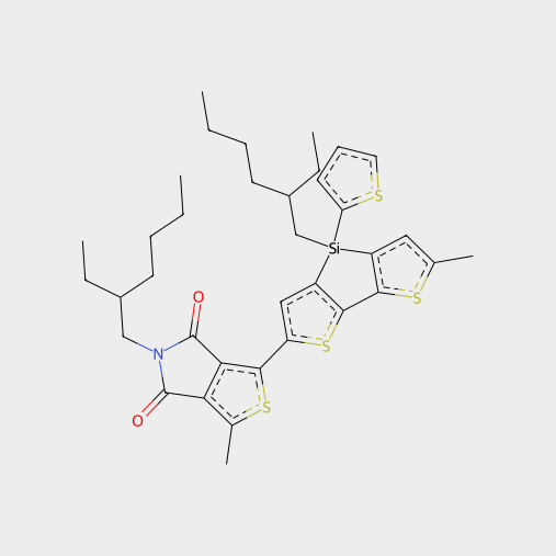 CCCCC(CC)CN1C(=O)c2c(C)sc(-c3cc4c(s3)-c3sc(C)cc3[Si]4(CC(CC)CCCC)c3cccs3)c2C1=O